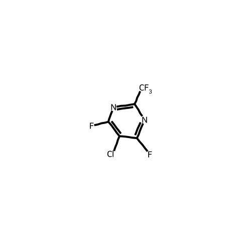 Fc1nc(C(F)(F)F)nc(F)c1Cl